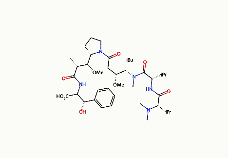 CC[C@H](C)[C@@H]([C@@H](CC(=O)N1CCC[C@H]1[C@H](OC)[C@@H](C)C(=O)NC(C(=O)O)[C@@H](O)c1ccccc1)OC)N(C)C(=O)[C@@H](NC(=O)[C@H](C(C)C)N(C)C)C(C)C